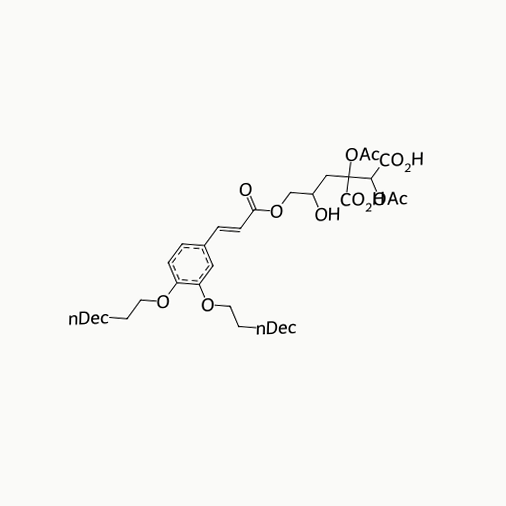 CCCCCCCCCCCCOc1ccc(/C=C/C(=O)OCC(O)CC(OC(C)=O)(C(=O)O)C(OC(C)=O)C(=O)O)cc1OCCCCCCCCCCCC